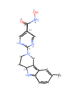 CC(C)c1ccc2c(c1)=C1CN(c3ncc(C(=O)NO)cn3)CCC1N=2